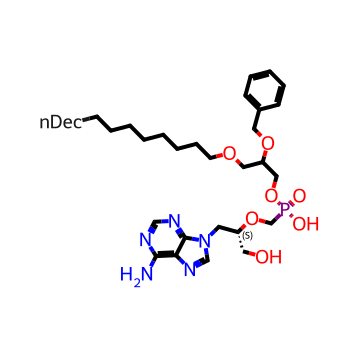 CCCCCCCCCCCCCCCCCCOCC(COP(=O)(O)CO[C@H](CO)Cn1cnc2c(N)ncnc21)OCc1ccccc1